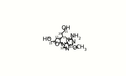 COc1nc(N)nc2c1ncn2C1OC(CO)CC1CCCO